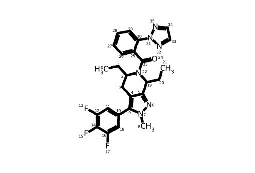 CCC1Cc2c(nn(C)c2-c2cc(F)c(F)c(F)c2)C(CC)N1C(=O)c1ccccc1-n1nccn1